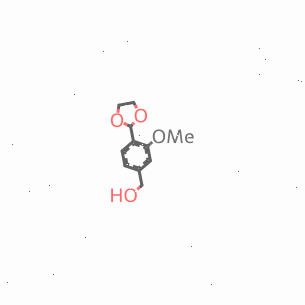 COc1cc(CO)ccc1C1OCCO1